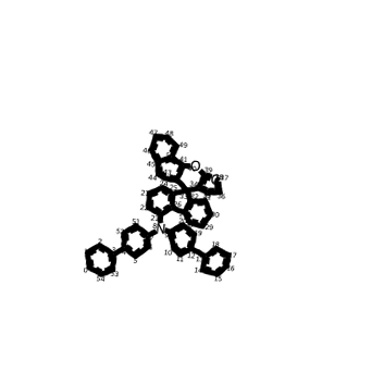 c1ccc(-c2ccc(N(c3ccc(-c4ccccc4)cc3)c3cccc4c3-c3ccccc3C43c4ccccc4Oc4c3ccc3ccccc43)cc2)cc1